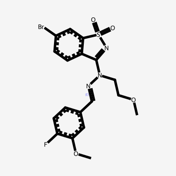 COCCN(/N=C/c1ccc(F)c(OC)c1)C1=NS(=O)(=O)c2cc(Br)ccc21